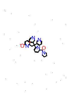 COc1cccc(CC(c2cccnc2)(c2cccnc2)c2cccc(C(=O)N3CCCC3)n2)n1